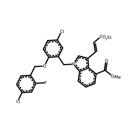 CCOC(=O)/C=C/c1cn(Cc2cc(Cl)ccc2OCc2ccc(Cl)cc2F)c2cccc(C(=O)OC)c12